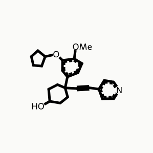 COc1ccc(C2(C#Cc3ccncc3)CCC(O)CC2)cc1OC1CCCC1